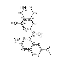 COc1ccc2nccc([C@@H](O)CC[C@@H]3CCNC[C@@H]3C(=O)[O-])c2c1.[Na+]